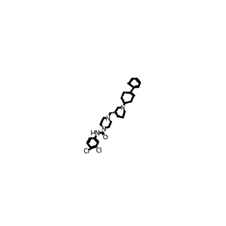 O=C(Nc1ccc(Cl)c(Cl)c1)N1CCN(C[C@@H]2CCCN(C3CCC(c4ccccc4)CC3)C2)CC1